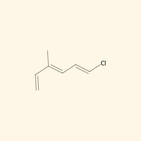 C=CC(C)=CC=CCl